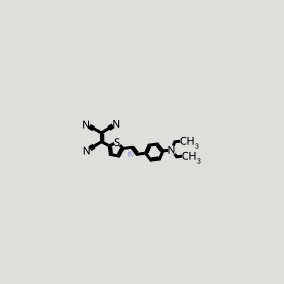 CCN(CC)c1ccc(/C=C/c2ccc(C(C#N)=C(C#N)C#N)s2)cc1